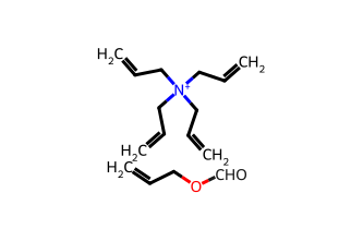 C=CCO[C-]=O.C=CC[N+](CC=C)(CC=C)CC=C